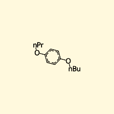 [CH2]CCOc1ccc(OCCCC)cc1